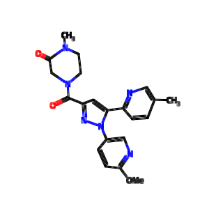 COc1ccc(-n2nc(C(=O)N3CCN(C)C(=O)C3)cc2-c2ccc(C)cn2)cn1